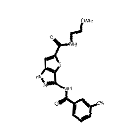 COCCNC(=O)c1cc2[nH]nc(NC(=O)c3cccc(C#N)c3)c2s1